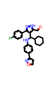 O=Cc1[nH]nc(-c2ccc(F)cc2)c1C(Nc1ccc(-c2ccon2)cc1)C1CCCCC1